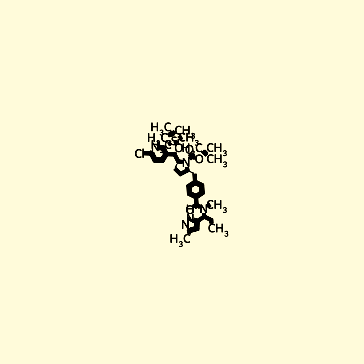 CCC(c1cc(C)n[nH]1)N(C)C(=O)c1ccc(C[C@@H]2CC[C@H]([C@H](O[Si](C)(C)C(C)(C)C)c3ccc(Cl)nc3)N2C(=O)OC(C)(C)C)cc1